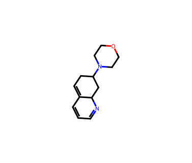 C1=CC2=CCC(N3CCOCC3)CC2N=C1